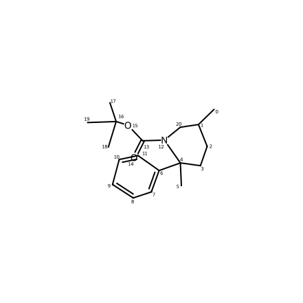 CC1CCC(C)(c2ccccc2)N(C(=O)OC(C)(C)C)C1